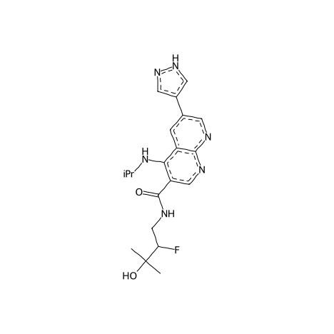 CC(C)Nc1c(C(=O)NCC(F)C(C)(C)O)cnc2ncc(-c3cn[nH]c3)cc12